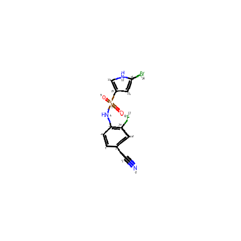 N#Cc1ccc(NS(=O)(=O)c2c[nH]c(Br)c2)c(F)c1